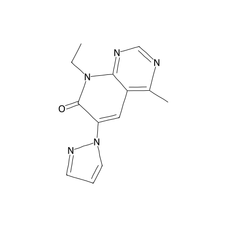 CCn1c(=O)c(-n2cccn2)cc2c(C)ncnc21